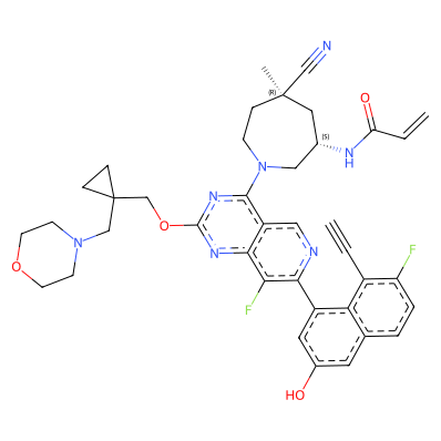 C#Cc1c(F)ccc2cc(O)cc(-c3ncc4c(N5CC[C@@](C)(C#N)C[C@H](NC(=O)C=C)C5)nc(OCC5(CN6CCOCC6)CC5)nc4c3F)c12